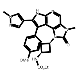 CCOC(=O)N[C@H]1C[C@@H](n2c(=O)n(C)c3cnc4[nH]c(-c5cnn(C)c5)c(-c5ccc(OC)cc5)c4c32)C1